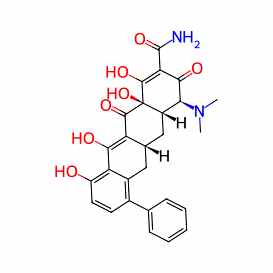 CN(C)[C@@H]1C(=O)C(C(N)=O)=C(O)[C@@]2(O)C(=O)C3=C(O)c4c(O)ccc(-c5ccccc5)c4C[C@H]3C[C@@H]12